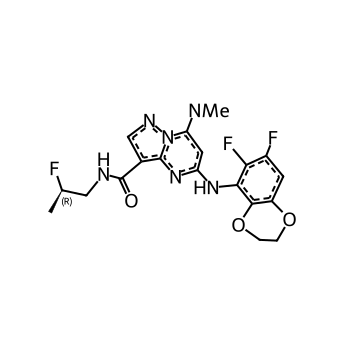 CNc1cc(Nc2c(F)c(F)cc3c2OCCO3)nc2c(C(=O)NC[C@@H](C)F)cnn12